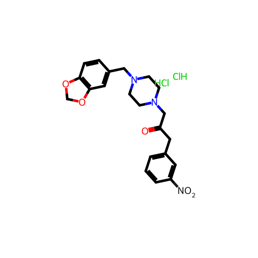 Cl.Cl.O=C(Cc1cccc([N+](=O)[O-])c1)CN1CCN(Cc2ccc3c(c2)OCO3)CC1